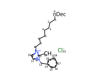 CCCCCCCCCCCCCCCCCC[n+]1ccn(Cc2ccccc2)c1C.[Cl-]